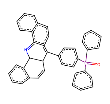 O=P(c1ccccc1)(c1ccccc1)c1ccc(C2=c3ccc4ccccc4c3=NC3c4ccccc4C=CC23)cc1